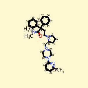 CN(C)C(=O)C(CCN1CCC[C@H]1CN1CCN(c2cccc(C(F)(F)F)n2)CC1)(c1ccccc1)c1ccccc1